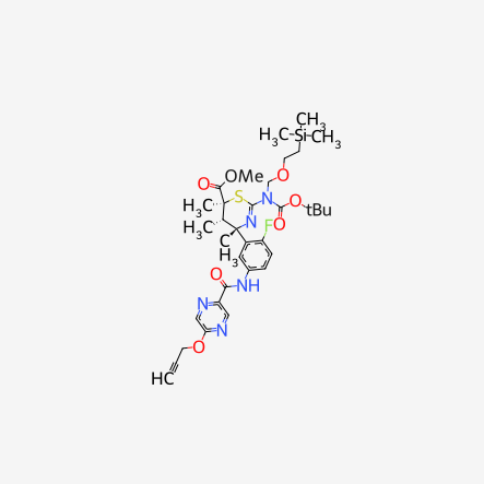 C#CCOc1cnc(C(=O)Nc2ccc(F)c([C@@]3(C)N=C(N(COCC[Si](C)(C)C)C(=O)OC(C)(C)C)S[C@](C)(C(=O)OC)[C@H]3C)c2)cn1